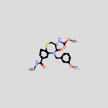 CCCCNC(=O)c1ccc2c(c1)N(Cc1cccc(OC(F)(F)F)c1)C(=O)[C@@H](NC(=O)OC(C)(C)C)CS2